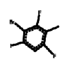 Cc1c(F)cc(I)c(Br)c1F